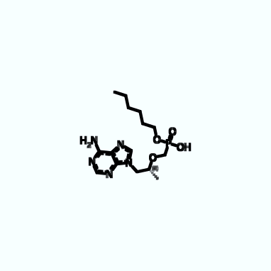 CCCCCCOP(=O)(O)CO[C@H](C)Cn1cnc2c(N)ncnc21